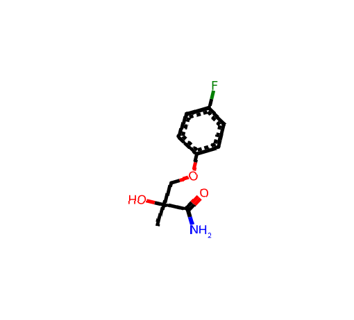 CC(O)(COc1ccc(F)cc1)C(N)=O